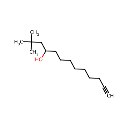 C#CCCCCCCCC(O)CC(C)(C)C